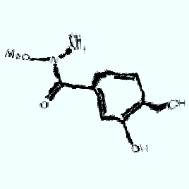 CON(C)C(=O)c1ccc(O)c(O)c1